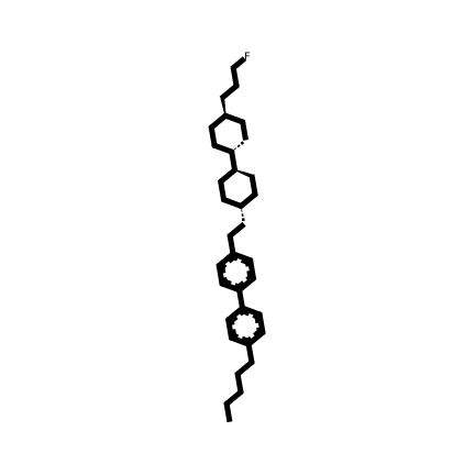 CCCCCc1ccc(-c2ccc(CC[C@H]3CC[C@H]([C@H]4CC[C@H](CCCF)CC4)CC3)cc2)cc1